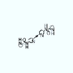 O=C(Nc1ccc(C#Cc2ccc(NC(=O)[C@@H]3CCCN3)cn2)nc1)[C@@H]1CCCN1